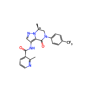 Cc1ncccc1C(=O)Nc1cnn2c1C(=O)N(c1ccc(C(F)(F)F)cc1)C[C@@H]2C